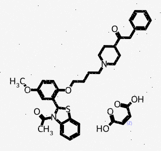 COc1ccc(OCCCCN2CCC(C(=O)Cc3ccccc3)CC2)c(C2Sc3ccccc3N2C(C)=O)c1.O=C(O)/C=C\C(=O)O